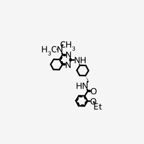 CCOc1ccccc1C(=O)NC[C@H]1CC[C@@H](Nc2nc3c(c(N(C)C)n2)CCCC3)CC1